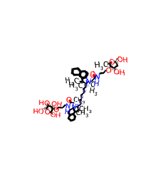 CC(C(=O)NCCCO[C@@H]1[C@@H](O)C[C@@H](CO)O[C@@H]1C)N1/C(=C/C=C/C=C/C=C/C2=[N+](C(C)C(=O)NCCCO[C@@H]3[C@@H](O)[C@H](O)[C@@H](CO)O[C@@H]3O)c3ccc4ccccc4c3C2(C)C)C(C)(C)c2c1ccc1ccccc21